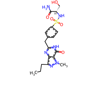 CCCc1nn(C)c2c(=O)[nH]c(Cc3ccc(S(=O)(=O)N[C@@H](CO)C(N)=O)cc3)nc12